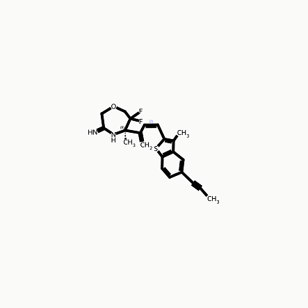 C=C(/C=C\c1sc2ccc(C#CC)cc2c1C)[C@@]1(C)NC(=N)COCC1(F)F